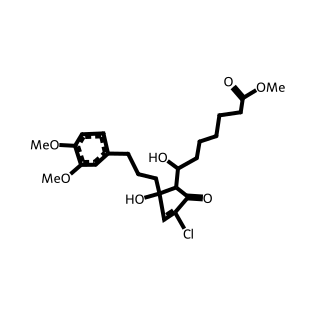 COC(=O)CCCCCC(O)C1C(=O)C(Cl)=CC1(O)CCCc1ccc(OC)c(OC)c1